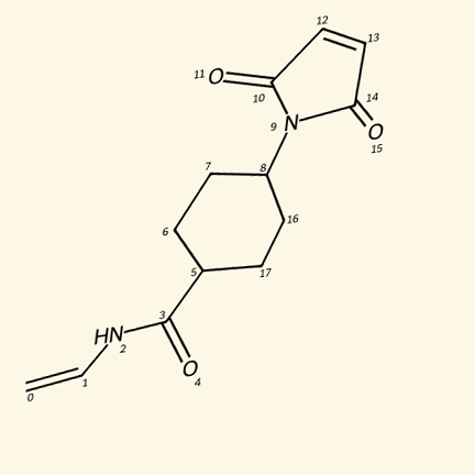 C=CNC(=O)C1CCC(N2C(=O)C=CC2=O)CC1